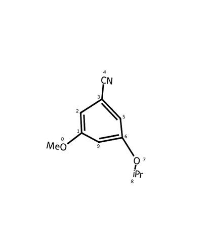 COc1cc(C#N)cc(OC(C)C)c1